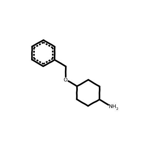 NC1CCC(OCc2ccccc2)CC1